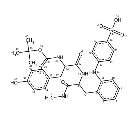 CNC(=O)C(Cc1ccccc1Nc1ccc(S(=O)(=O)O)cc1)NC(=O)C(Cc1ccc(O)cc1)NC(=O)OC(C)(C)C